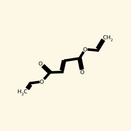 C=COC(=O)C=CC(=O)OC=C